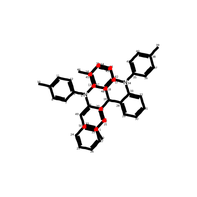 Cc1ccc(N(c2ccc(C)cc2)c2ccccc2C(CCc2ccccc2)c2ccccc2N(c2ccc(C)cc2)c2ccc(C)cc2)cc1